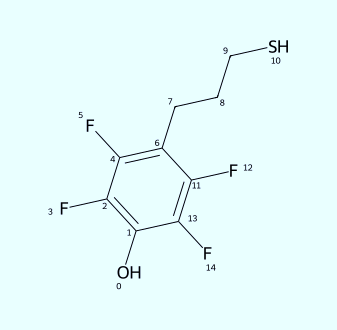 Oc1c(F)c(F)c(CCCS)c(F)c1F